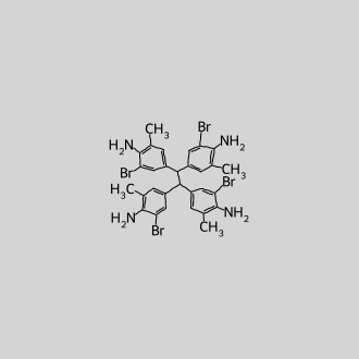 Cc1cc(C(c2cc(C)c(N)c(Br)c2)C(c2cc(C)c(N)c(Br)c2)c2cc(C)c(N)c(Br)c2)cc(Br)c1N